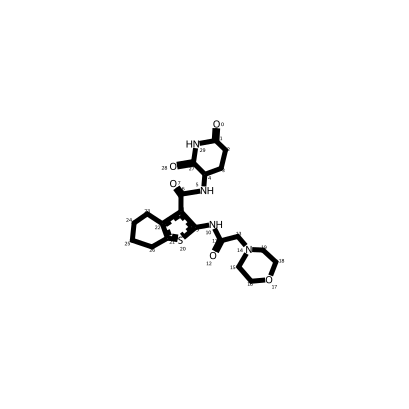 O=C1CCC(NC(=O)c2c(NC(=O)CN3CCOCC3)sc3c2CCCC3)C(=O)N1